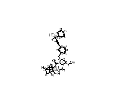 CC(O)[C@@H]1[C@H](CO)ON(Cc2cccc(C#CC(C)(O)c3ccccc3)c2)[C@@H]1C(=O)N[C@H]1C[C@H]2C[C@@H]([C@@H]1C)C2(C)C